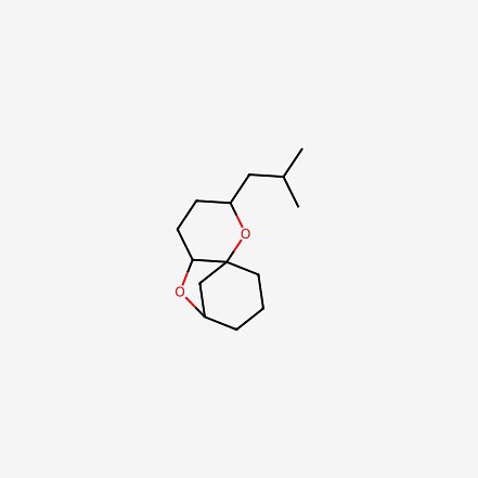 CC(C)CC1CCC2OC3CCCC2(C3)O1